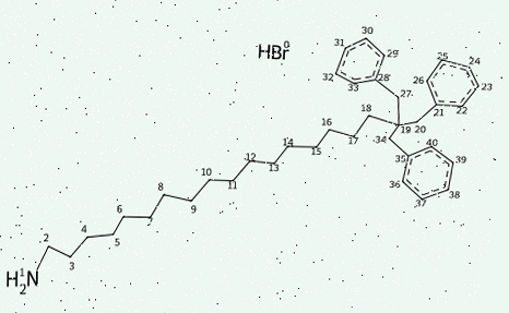 Br.NCCCCCCCCCCCCCCCCCC(Cc1ccccc1)(Cc1ccccc1)Cc1ccccc1